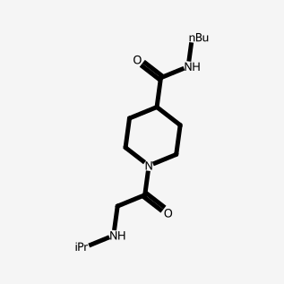 CCCCNC(=O)C1CCN(C(=O)CNC(C)C)CC1